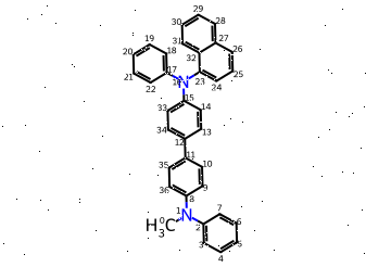 CN(c1ccccc1)c1ccc(-c2ccc(N(c3ccccc3)c3cccc4ccccc34)cc2)cc1